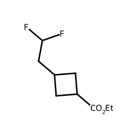 CCOC(=O)C1CC(CC(F)F)C1